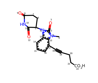 Cn1c(=O)n(C2CCC(=O)NC2=O)c2cccc(C#CCCC(=O)O)c21